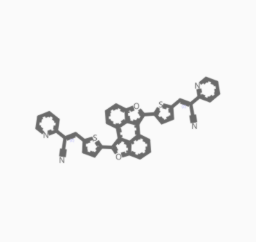 N#C/C(=C\c1ccc(-c2oc3cccc4c5c(-c6ccc(/C=C(\C#N)c7ccccn7)s6)oc6cccc(c2c34)c65)s1)c1ccccn1